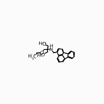 CCOCC(CO)(CO)NCc1ccc2c3c(cccc13)-c1ccccc1-2